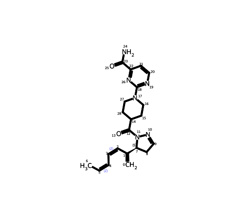 C=C(/C=C\C=C/C)[C@@H]1CC=NN1C(=O)C1CCN(c2nccc(C(N)=O)n2)CC1